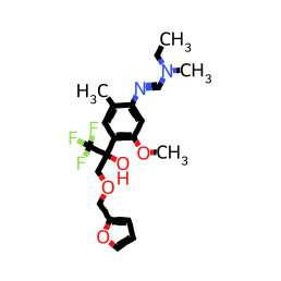 CCN(C)C=Nc1cc(OC)c(C(O)(COCc2ccco2)C(F)(F)F)cc1C